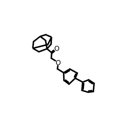 O=C(COCc1ccc(-c2ccccc2)cc1)C12CC3CC(CC(C3)C1)C2